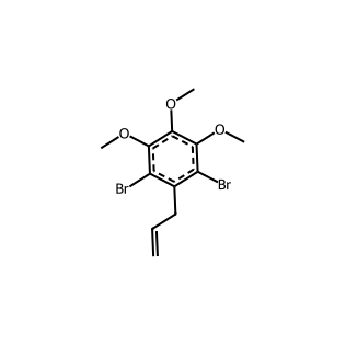 C=CCc1c(Br)c(OC)c(OC)c(OC)c1Br